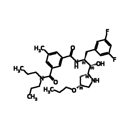 CCCO[C@H]1CN[C@@H]([C@@H](O)[C@H](Cc2cc(F)cc(F)c2)NC(=O)c2cc(C)cc(C(=O)N(CCC)CCC)c2)C1